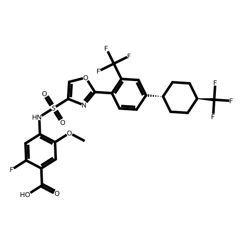 COc1cc(C(=O)O)c(F)cc1NS(=O)(=O)c1coc(-c2ccc([C@H]3CC[C@H](C(F)(F)F)CC3)cc2C(F)(F)F)n1